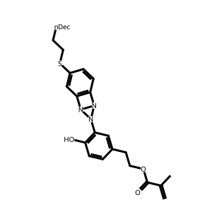 C=C(C)C(=O)OCCc1ccc(O)c(-n2n3c4ccc(SCCCCCCCCCCCC)cc4n23)c1